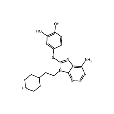 Nc1ncnc2c1nc(Sc1ccc(O)c(O)c1)n2CCC1CCNCC1